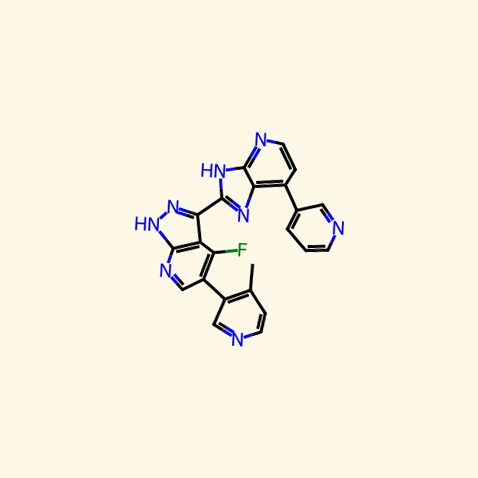 Cc1ccncc1-c1cnc2[nH]nc(-c3nc4c(-c5cccnc5)ccnc4[nH]3)c2c1F